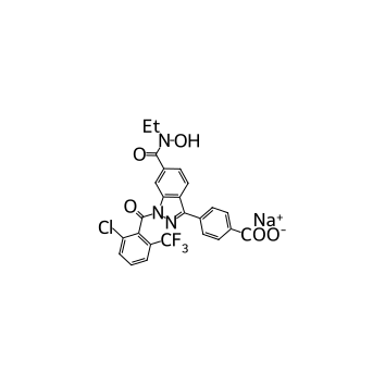 CCN(O)C(=O)c1ccc2c(-c3ccc(C(=O)[O-])cc3)nn(C(=O)c3c(Cl)cccc3C(F)(F)F)c2c1.[Na+]